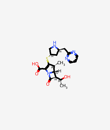 C[C@@H](O)[C@H]1C(=O)N2C(C(=O)O)=C(S[C@@H]3CN[C@@H](Cc4ncccn4)C3)[C@H](C)[C@H]12